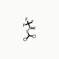 FN(SC(Cl)Cl)C(F)(F)F